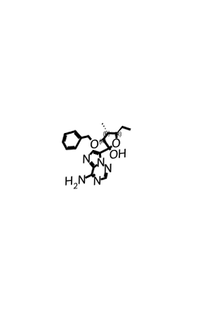 CC[C@H]1OC(O)(c2cnc3c(N)ncnn23)[C@H](OCc2ccccc2)[C@@H]1C